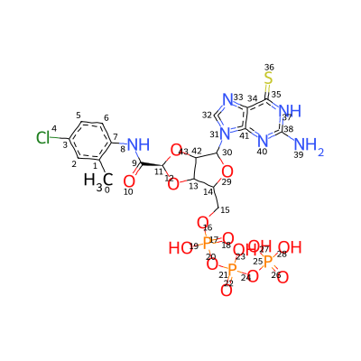 Cc1cc(Cl)ccc1NC(=O)[C@@H]1OC2C(COP(=O)(O)OP(=O)(O)OP(=O)(O)O)OC(n3cnc4c(=S)[nH]c(N)nc43)C2O1